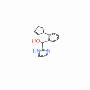 OC(c1ncc[nH]1)c1ccccc1C1C=CCC1